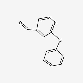 O=Cc1ccnc(Oc2ccccc2)c1